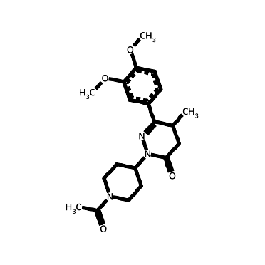 COc1ccc(C2=NN(C3CCN(C(C)=O)CC3)C(=O)CC2C)cc1OC